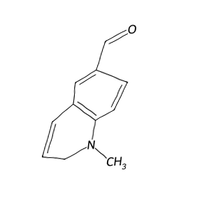 CN1CC=Cc2cc(C=O)ccc21